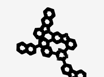 c1ccc(-c2nc(-c3ccc4sc5ccccc5c4c3)nc(-c3cccc4oc5cc(-n6c7ccccc7c7cc8ccccc8cc76)c(-c6ccc(-c7ccc8ccccc8c7)cc6)cc5c34)n2)cc1